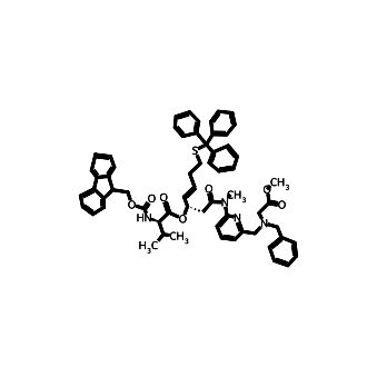 COC(=O)CN(Cc1ccccc1)Cc1cccc(N(C)C(=O)C[C@@H](/C=C/CCSC(c2ccccc2)(c2ccccc2)c2ccccc2)OC(=O)[C@H](NC(=O)OCC2c3ccccc3-c3ccccc32)C(C)C)n1